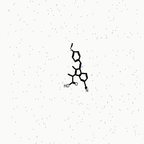 CSc1ccc(/C=C2\C(C)=C(C(C)C(=O)O)c3cc(C#N)ccc32)cc1